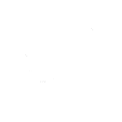 N#Cc1ccc(-c2cc(Cl)nc(OC3CC4CCC(C3)N4)c2)cc1